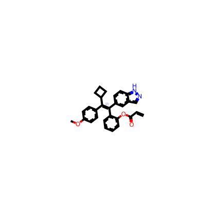 C=CC(=O)Oc1ccccc1/C(=C(\c1ccc(OC)cc1)C1CCC1)c1ccc2[nH]ncc2c1